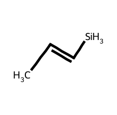 C/C=C/[SiH3]